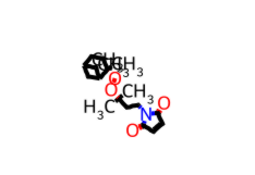 CC(C)(CCN1C(=O)C=CC1=O)OOC1(C)CCC2CC1C2(C)C